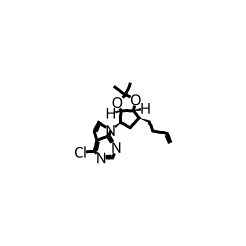 C=CCC[C@H]1C[C@@H](n2ccc3c(Cl)ncnc32)[C@@H]2OC(C)(C)O[C@H]12